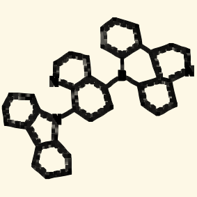 c1ccc2c(c1)B(c1ccc(-n3c4ccccc4c4ccccc43)c3ncccc13)c1cccc3nccc-2c13